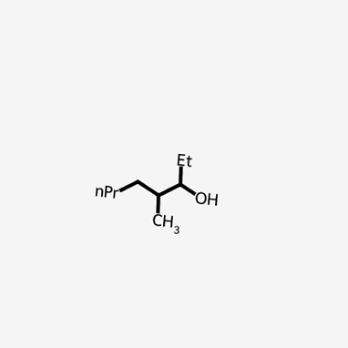 [CH2]CC(O)C(C)CCCC